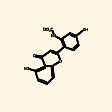 CCOC(=O)Nc1cc(O)ccc1-c1cc(=O)c2c(O)cccc2o1